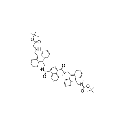 CN(Cc1c2ccccc2c(CN(C)C(=O)c2ccc(C(=O)N(C)Cc3c4ccccc4c(CNCC(=O)OC(C)(C)C)c4ccccc34)c3ccccc23)c2ccccc12)C(=O)OC(C)(C)C